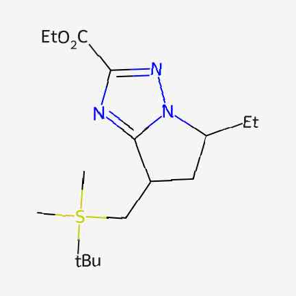 CCOC(=O)c1nc2n(n1)C(CC)CC2CS(C)(C)C(C)(C)C